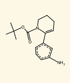 CC(C)(C)OC(=O)N1CCCC=C1c1cccc(N)c1